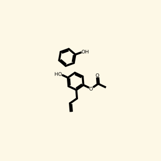 C=CCc1cc(O)ccc1OC(C)=O.Oc1ccccc1